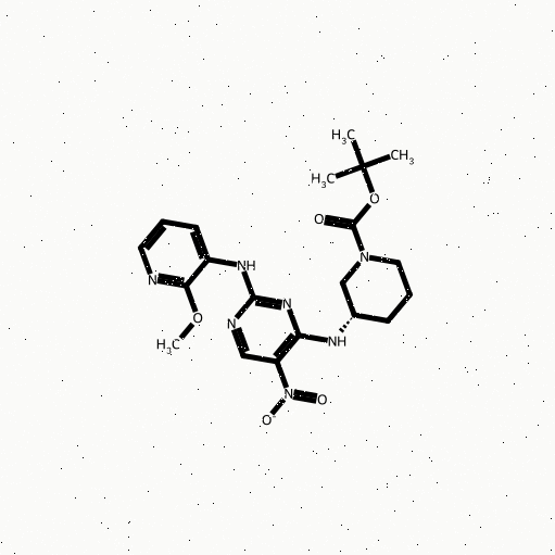 COc1ncccc1Nc1ncc([N+](=O)[O-])c(N[C@H]2CCCN(C(=O)OC(C)(C)C)C2)n1